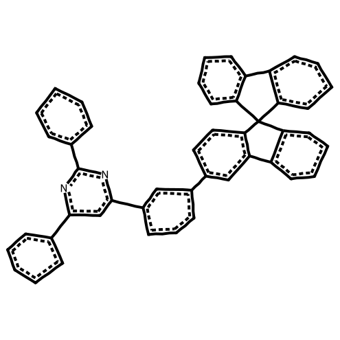 c1ccc(-c2cc(-c3cccc(-c4ccc5c(c4)-c4ccccc4C54c5ccccc5-c5ccccc54)c3)nc(-c3ccccc3)n2)cc1